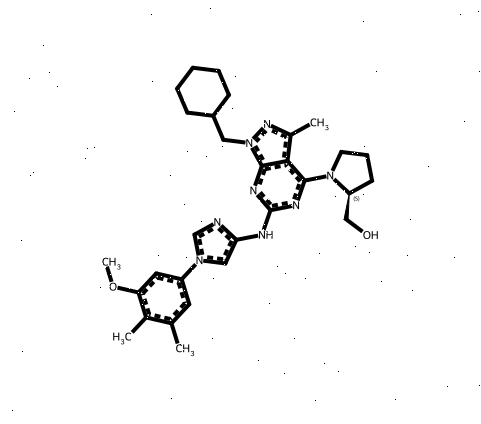 COc1cc(-n2cnc(Nc3nc(N4CCC[C@H]4CO)c4c(C)nn(CC5CCCCC5)c4n3)c2)cc(C)c1C